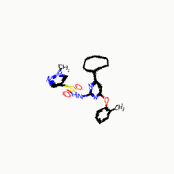 Cc1ccccc1Oc1cc(C2CCCCC2)nc(NS(=O)(=O)c2cnn(C)c2)n1